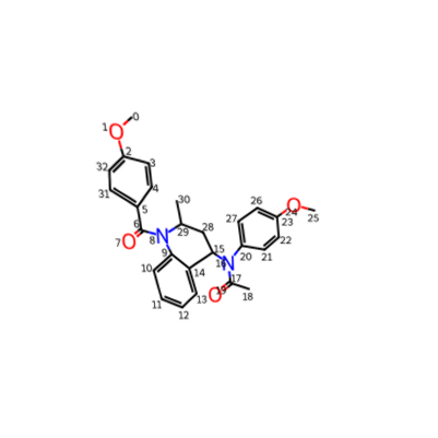 COc1ccc(C(=O)N2c3ccccc3C(N(C(C)=O)c3ccc(OC)cc3)CC2C)cc1